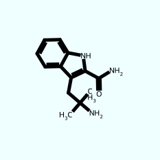 CC(C)(N)Cc1c(C(N)=O)[nH]c2ccccc12